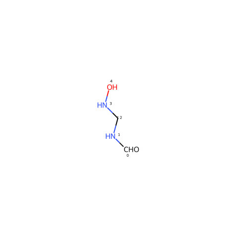 O=CN[CH]NO